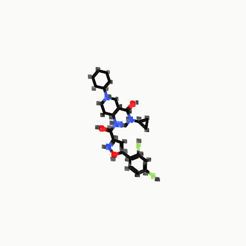 CN(C(=O)C1CN(C2CCCCC2)CCC1NC(=O)c1cc(-c2ccc(F)cc2F)on1)C1CC1